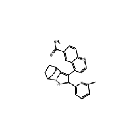 Cc1cccc(C2NN3C(=C2c2ccnc4ccc(C(N)=O)cc24)C2CCC3CC2)n1